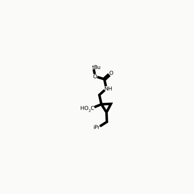 CC(C)CC1CC1(CNC(=O)OC(C)(C)C)C(=O)O